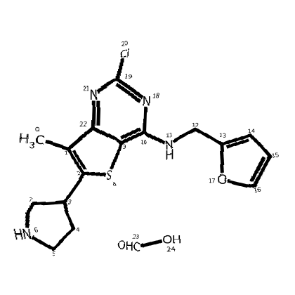 Cc1c(C2CCNC2)sc2c(NCc3ccco3)nc(Cl)nc12.O=CO